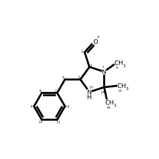 CN1C(C=O)C(Cc2ccccc2)NC1(C)C